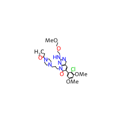 C=CC(=O)N1CCN(CCCn2c(=O)c(-c3cc(OC)cc(OC)c3Cl)cc3cnc(NCCOCCOC)nc32)CC1